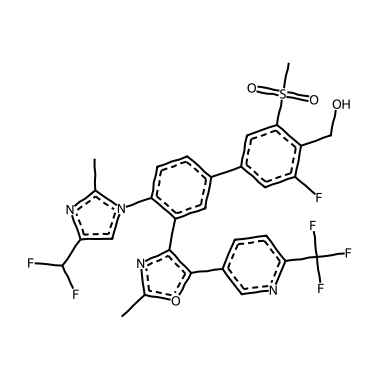 Cc1nc(-c2cc(-c3cc(F)c(CO)c(S(C)(=O)=O)c3)ccc2-n2cc(C(F)F)nc2C)c(-c2ccc(C(F)(F)F)nc2)o1